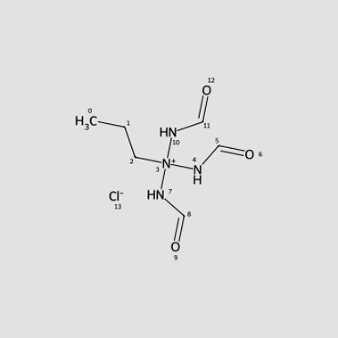 CCC[N+](NC=O)(NC=O)NC=O.[Cl-]